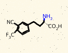 N#Cc1cc(CC[C@H](N)C(=O)O)ccc1C(F)(F)F